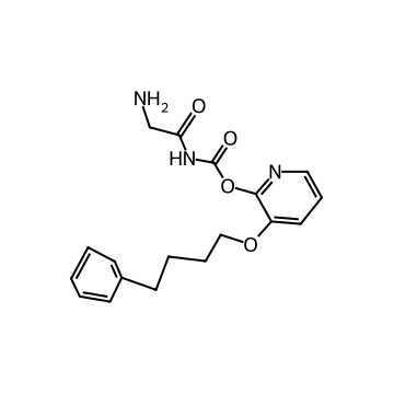 NCC(=O)NC(=O)Oc1ncccc1OCCCCc1ccccc1